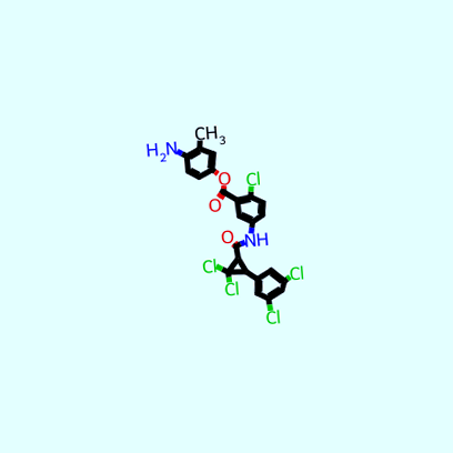 Cc1cc(OC(=O)c2cc(NC(=O)C3C(c4cc(Cl)cc(Cl)c4)C3(Cl)Cl)ccc2Cl)ccc1N